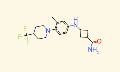 Cc1cc(NC2CC(C(N)=O)C2)ccc1N1CCC(C(F)(F)F)CC1